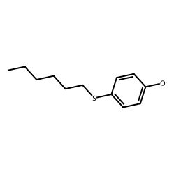 CCCCCCSc1ccc([O])cc1